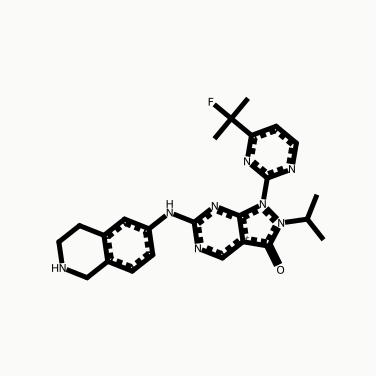 CC(C)n1c(=O)c2cnc(Nc3ccc4c(c3)CCNC4)nc2n1-c1nccc(C(C)(C)F)n1